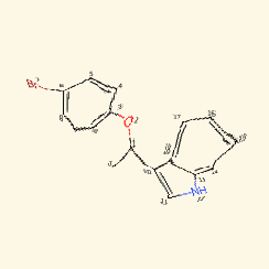 CC(Oc1ccc(Br)cc1)c1c[nH]c2ccccc12